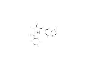 CN1C(=O)/C(=C/c2ccc3ncn(C)c3c2)N=C1NC1CCCCC1